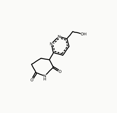 O=C1CCC(c2ccc(CO)nn2)C(=O)N1